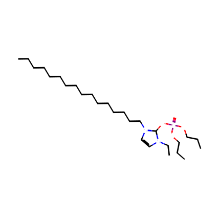 CCCCCCCCCCCCCCCCN1C=CN(CC)C1OP(=O)(OCCC)OCCC